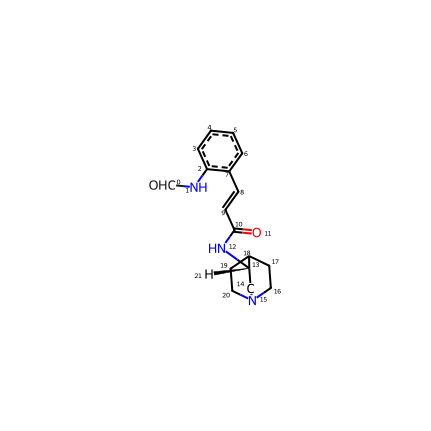 O=CNc1ccccc1/C=C/C(=O)N[C@H]1CN2CCC1CC2